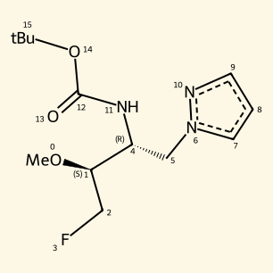 CO[C@H](CF)[C@@H](Cn1cccn1)NC(=O)OC(C)(C)C